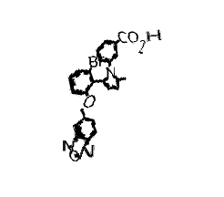 Cc1ccc(-c2c(Br)cccc2OCc2ccc3nonc3c2)n1-c1cccc(C(=O)O)c1